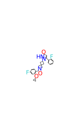 O=C(c1ccc(F)cc1OC1CC1)N1CC2(CC(n3[nH]c(=O)cc3-c3ccccc3F)C2)C1